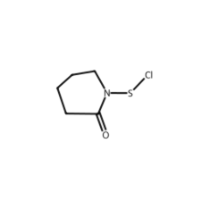 O=C1CCCCN1SCl